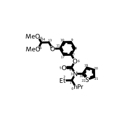 CCCC(CC)N(C(=O)Oc1cccc(OCC(OC)OC)c1)c1cccs1